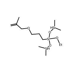 C=C(C)COCCC[Si](OCC)(O[SiH](C)C)O[SiH](C)C